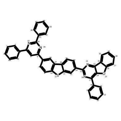 c1ccc(-c2cc(-c3ccc4sc5cc(-c6nc(-c7ccccc7)c7oc8ccccc8c7n6)ccc5c4c3)nc(-c3ccccc3)n2)cc1